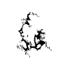 CCCNC(=O)O[C@H]1C[C@@H](CNC(=O)c2nc(-c3ccc(OC)c4nc(C(F)(F)F)ccc34)oc2[C@H](C)N)C1